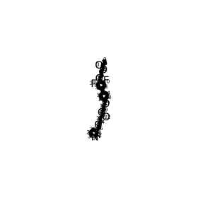 C=CC(=O)OCCOc1c(F)cc(-c2ccc(OCCOC(=O)CCOCc3cccnn3)cc2)cc1F